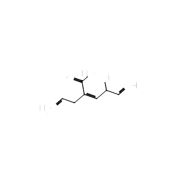 C=CCC(=CC(O)C=C)C(=O)O